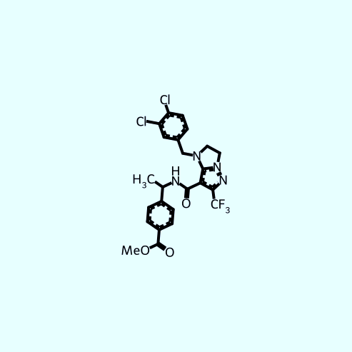 COC(=O)c1ccc(C(C)NC(=O)c2c(C(F)(F)F)nn3c2N(Cc2ccc(Cl)c(Cl)c2)CC3)cc1